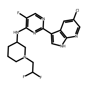 Fc1cnc(-c2c[nH]c3ncc(Cl)cc23)nc1NC1CCCN(CC(F)F)C1